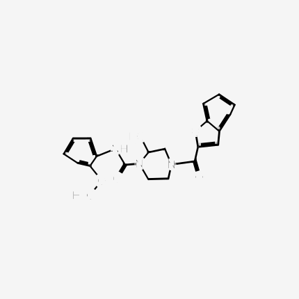 COc1ccccc1NC(=O)N1CCN(C(=O)c2cc3ccccc3o2)CC1C